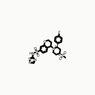 CS(=O)(=O)[C@H]1CCN(C2CCOc3cc(S(=O)(=O)Nc4ncns4)ccc32)[C@@H](c2ccc(F)cc2)C1